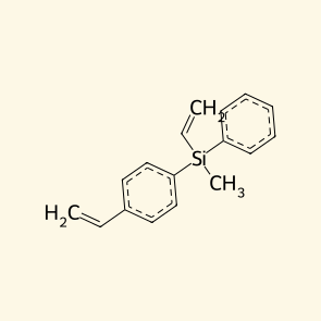 C=Cc1ccc([Si](C)(C=C)c2ccccc2)cc1